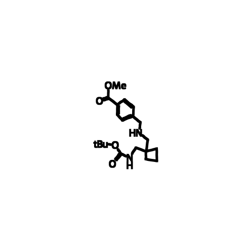 COC(=O)c1ccc(CNCC2(CNC(=O)OC(C)(C)C)CCC2)cc1